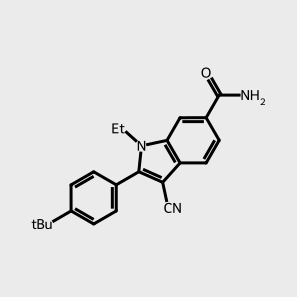 CCn1c(-c2ccc(C(C)(C)C)cc2)c(C#N)c2ccc(C(N)=O)cc21